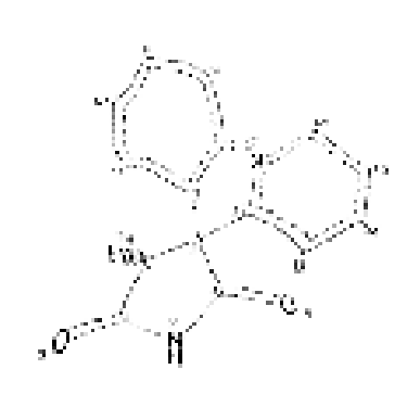 O=C1NC(=O)C(c2ccccc2)(c2ccccn2)N1